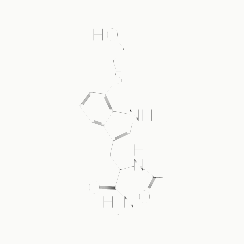 CC(=O)NC(Cc1c[nH]c2c(SCCO)cccc12)C(N)=O